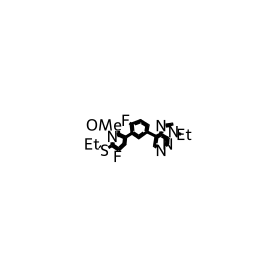 CCSc1nc(OC)c(-c2cc(-c3cnnc4c3ncn4CC)ccc2F)cc1F